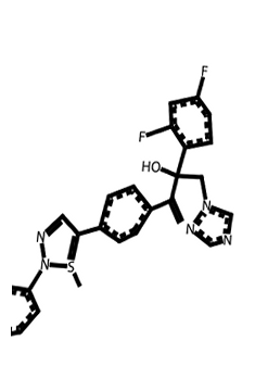 C=C(c1ccc(C2=S(C)N(c3ccccc3)N=C2)cc1)C(O)(Cn1cncn1)c1ccc(F)cc1F